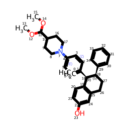 C=C(/C=C\C(=C/C)N1CCC(C(OC)OC)CC1)[C@@H]1c2ccc(O)cc2CC[C@@H]1c1ccccc1